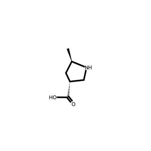 C[C@@H]1C[C@@H](C(=O)O)CN1